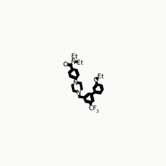 CCOc1cccc(-c2cc(CN3CCN(c4ccc(C(=O)N(CC)CC)cc4)CC3)cc(C(F)(F)F)c2)c1